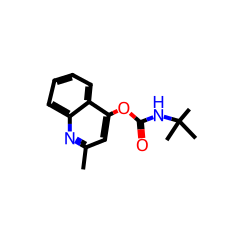 Cc1cc(OC(=O)NC(C)(C)C)c2ccccc2n1